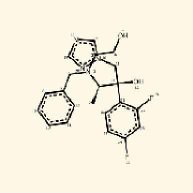 C[C@@H](N(CCO)Cc1ccccc1)[C@](O)(Cn1cncn1)c1ccc(F)cc1F